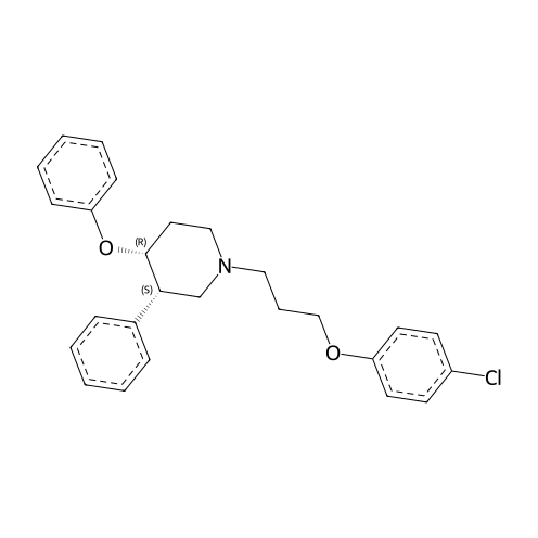 Clc1ccc(OCCCN2CC[C@@H](Oc3ccccc3)[C@@H](c3ccccc3)C2)cc1